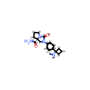 CN(C)C1(c2ccc(N3C[C@@]4(C(N)=O)[CH]CCN4C3=O)cc2)CCC1